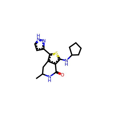 CC1Cc2c(-c3cc[nH]n3)sc(NC3CCCC3)c2C(=O)N1